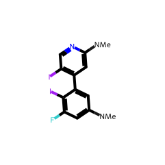 CNc1cc(F)c(I)c(-c2cc(NC)ncc2I)c1